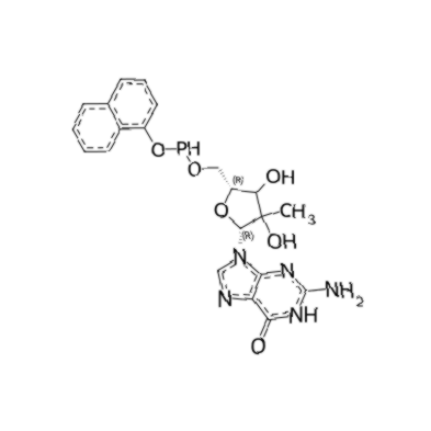 CC1(O)C(O)[C@@H](COPOc2cccc3ccccc23)O[C@H]1n1cnc2c(=O)[nH]c(N)nc21